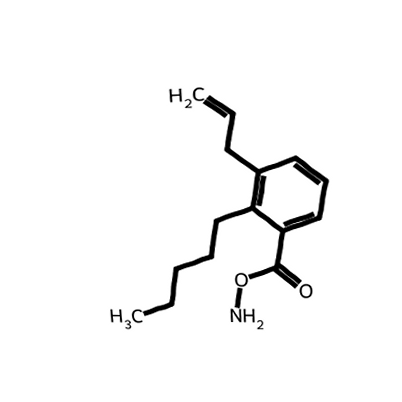 C=CCc1cccc(C(=O)ON)c1CCCCC